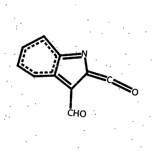 O=C=C1N=c2ccccc2=C1C=O